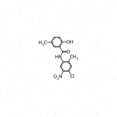 Cc1ccc(O)c(C(=O)Nc2cc([N+](=O)[O-])c(Cl)cc2C)c1